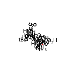 C[C@@H](OC(C)(C)C)[C@H](NC(=O)[C@H](Cc1ccccc1)NC(=O)[C@@H](NC(=O)CNC(=O)[C@H](CCC(=O)OC(C)(C)C)NC(=O)C(C)(C)NC(=O)[C@H](Cc1ccc(OC(C)(C)C)cc1)NC(=O)OCC1c2ccccc2-c2ccccc21)[C@@H](C)OC(C)(C)C)C(=O)O